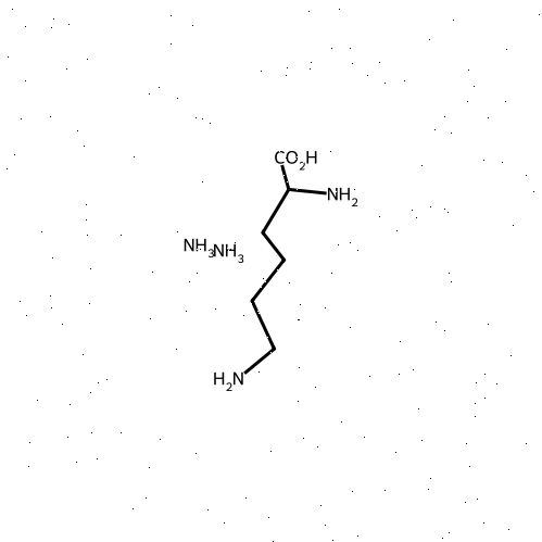 N.N.NCCCCC(N)C(=O)O